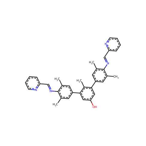 Cc1cc(-c2cc(O)cc(-c3cc(C)c(N=Cc4ccccn4)c(C)c3)c2C)cc(C)c1N=Cc1ccccn1